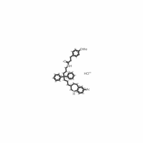 COc1ccc(CCC(=O)NCCCC(CCCC2CCc3cc(C(C)=O)ccc3NC2)(c2ccccc2)c2ccccc2)cc1.Cl